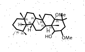 COC1CC(C)(C)[C@]2(OC)CC[C@]3(C)[C@H](CC[C@@H]4[C@@H]5[C@@H](C)[C@H](C)CC[C@]5(C)CC[C@]43C)[C@@]2(C)C1O